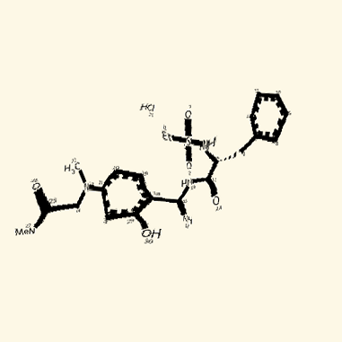 CCS(=O)(=O)N[C@H](Cc1ccccc1)C(=O)NC(=N)c1ccc(N(C)CC(=O)NC)cc1O.Cl